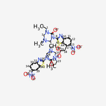 CCN1CN(C)CN(c2nc3ccc([N+](=O)[O-])c(CC(=O)O[N+]4(CC)CN(C)CN(c5nc6ccc([N+](=O)[O-])cc6s5)C4=O)c3s2)C1=O